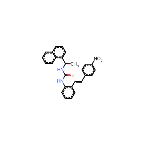 CC(NC(=O)Nc1ccccc1C=Cc1ccc([N+](=O)[O-])cc1)c1cccc2ccccc12